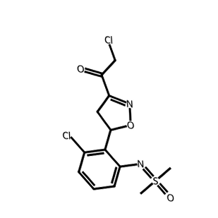 CS(C)(=O)=Nc1cccc(Cl)c1C1CC(C(=O)CCl)=NO1